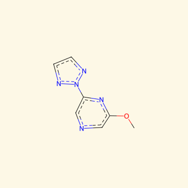 COc1cncc(-n2nccn2)n1